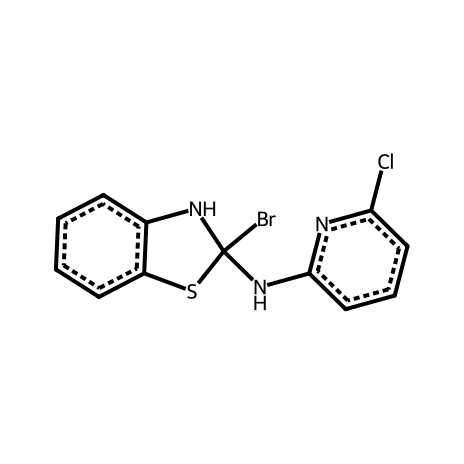 Clc1cccc(NC2(Br)Nc3ccccc3S2)n1